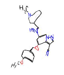 COc1ccc(COc2cc(NCC3CCN(C)CC3)cn3ncc(C#N)c23)cc1